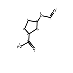 O=COC1CCC(C(=O)O)C1